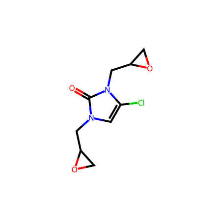 O=c1n(CC2CO2)cc(Cl)n1CC1CO1